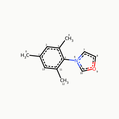 Cc1cc(C)c(-[n+]2ccoc2)c(C)c1